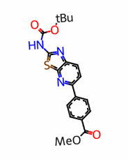 COC(=O)c1ccc(-c2ccc3nc(NC(=O)OC(C)(C)C)sc3n2)cc1